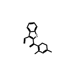 C=Cc1c(C(=C)C2=C(C)C=C(C)CC2)sc2ccccc12